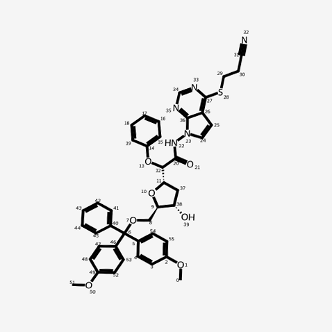 COc1ccc(C(OC[C@H]2O[C@H](C(Oc3ccccc3)C(=O)Nn3ccc4c(SCCC#N)ncnc43)C[C@@H]2O)(c2ccccc2)c2ccc(OC)cc2)cc1